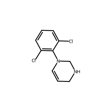 Clc1cccc(Cl)c1N1C=CCNC1